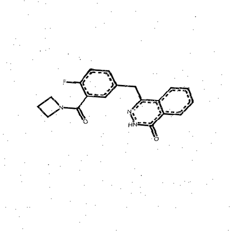 O=C(c1cc(Cc2n[nH]c(=O)c3ccccc23)ccc1F)N1CCC1